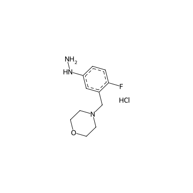 Cl.NNc1ccc(F)c(CN2CCOCC2)c1